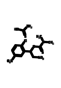 CN(C)C(=S)OC(C[N+](=O)[O-])c1cc([N+](=O)[O-])ccc1Cl.NC(O)=S